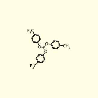 Cc1ccc(OP(Oc2ccc(C(F)(F)F)cc2)Oc2ccc(C(F)(F)F)cc2)cc1